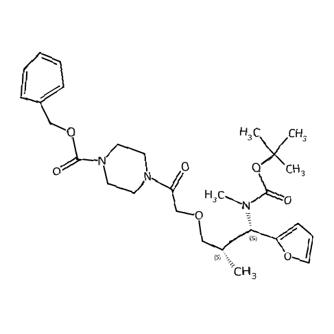 C[C@H](COCC(=O)N1CCN(C(=O)OCc2ccccc2)CC1)[C@@H](c1ccco1)N(C)C(=O)OC(C)(C)C